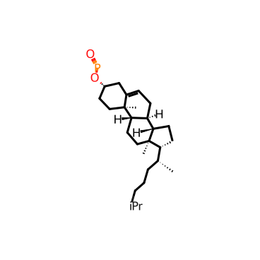 CC(C)CCC[C@@H](C)[C@H]1CC[C@H]2[C@@H]3CC=C4C[C@@H](OP=O)CC[C@]4(C)[C@H]3CC[C@]12C